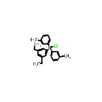 CCc1cc(CC)cc([Si](Cl)(c2cccc(C)c2)c2cccc(C)c2)c1